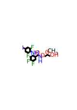 COC(CO)CONC(=O)c1cc(F)c(F)c(F)c1Nc1ccc(I)cc1F